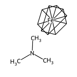 CN(C)C.[CH]12[CH]3[CH]4[CH]5[CH]1[Fe]23451678[CH]2[CH]1[CH]6[CH]7[CH]28